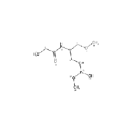 BCC(=O)NC(COC)COP(O)OC